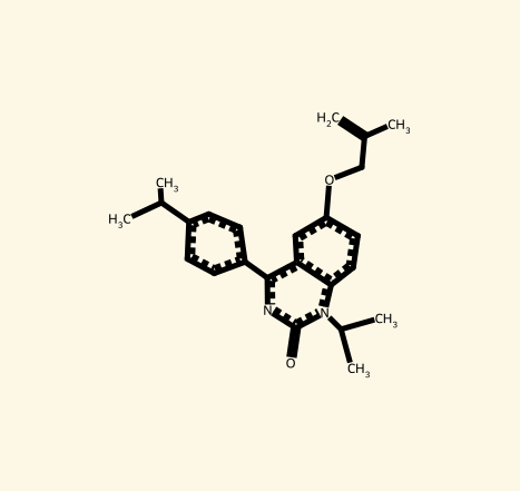 C=C(C)COc1ccc2c(c1)c(-c1ccc(C(C)C)cc1)nc(=O)n2C(C)C